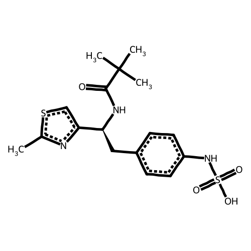 Cc1nc([C@H](Cc2ccc(NS(=O)(=O)O)cc2)NC(=O)C(C)(C)C)cs1